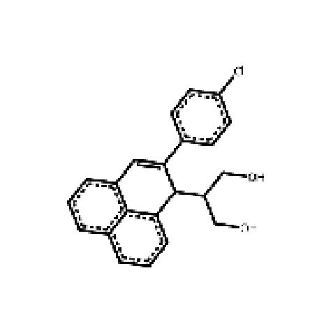 OCC(CO)C1C(c2ccc(Cl)cc2)=Cc2cccc3cccc1c23